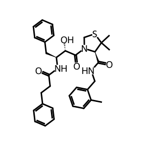 Cc1ccccc1CNC(=O)[C@H]1N(C(=O)[C@@H](O)[C@H](Cc2ccccc2)NC(=O)CCc2ccccc2)CSC1(C)C